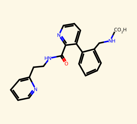 O=C(O)NCc1ccccc1-c1cccnc1C(=O)NCCc1ccccn1